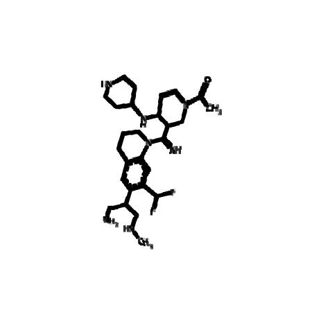 CNCC(CN)c1cc2c(cc1C(F)F)N(C(=N)C1CN(C(C)=O)CCC1NC1CCNCC1)CCC2